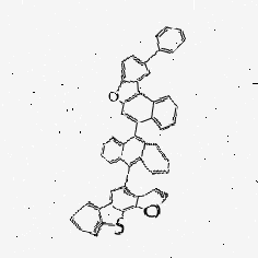 c1ccc(-c2ccc3oc4cc(-c5c6ccccc6c(-c6cc7c8ccccc8sc7c7occc67)c6ccccc56)c5ccccc5c4c3c2)cc1